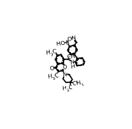 Cc1cc([C@H](C)Nc2ccccc2-c2ccc3c(c2)C=NOB3O)c2oc(N3CCC(C)(C)CC3)c(C)c(=O)c2c1